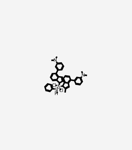 CC1=Cc2c(-c3cccc(N(C)C)c3)cccc2[CH]1[Zr]([Cl])([Cl])([CH]1C(C)=Cc2c(-c3cccc(N(C)C)c3)cccc21)[SiH](C)c1ccccc1